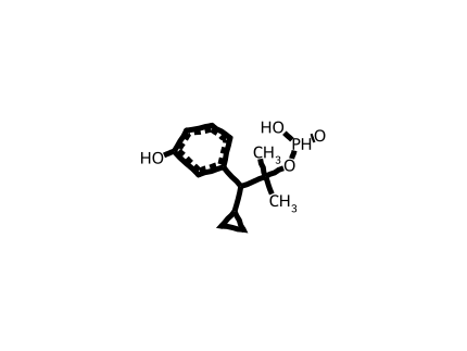 CC(C)(O[PH](=O)O)C(c1cccc(O)c1)C1CC1